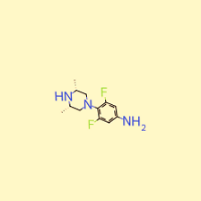 C[C@@H]1CN(c2c(F)cc(N)cc2F)C[C@H](C)N1